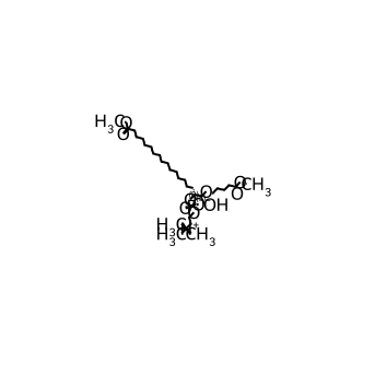 COC(=O)CCCCCCCCCCCCCCC[C@@H](OP(=O)([O-])OCC[N+](C)(C)C)[C@H](CO)OCCCCC(=O)OC